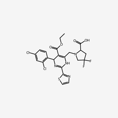 CCOC(=O)C1=C(CN2CC(F)(F)CC2C(=O)O)NC(c2nccs2)=NC1c1ccc(Cl)cc1Cl